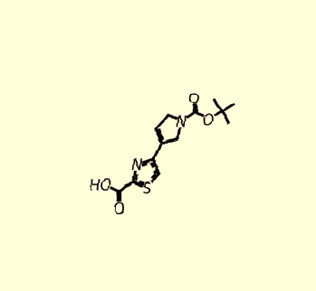 CC(C)(C)OC(=O)N1CC=C(c2csc(C(=O)O)n2)C1